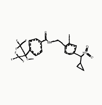 COC(c1ccc(C(=O)NCc2ccc(C(C3CC3)[SH](=O)=O)cc2C)cc1)(C(F)(F)F)C(F)(F)F